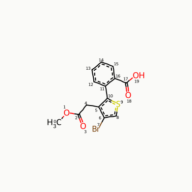 COC(=O)Cc1c(Br)csc1-c1ccccc1C(=O)O